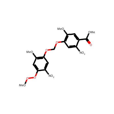 COOOc1cc(OC)c(OCOc2cc([N+](=O)[O-])c(C(=O)OC)cc2OC)cc1[N+](=O)[O-]